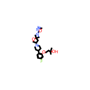 CC(C)(O)CCOc1cc(F)ccc1C1CCN([C@@H]2COC3(C2)CN(c2nnco2)C3)CC1